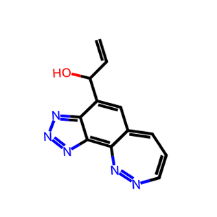 C=CC(O)c1cc2cccnnc2c2nnnc12